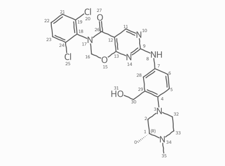 C[C@@H]1CN(c2ccc(Nc3ncc4c(n3)OCN(c3c(Cl)cccc3Cl)C4=O)cc2CO)CCN1C